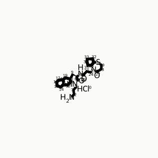 Cl.NCCCNC(=O)[C@@H](Cc1ccc2ccccc2c1)NC(=O)CCN1C(=O)CCSc2ccccc21